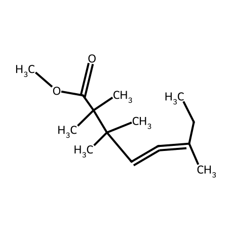 CCC(C)=C=CC(C)(C)C(C)(C)C(=O)OC